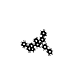 C1=Cc2c(-c3ccc(N(c4ccc(-c5ccccc5)cc4)c4ccc(-c5ccccc5)cc4)c4ccccc34)ccc3c(-c4ccccc4)ccc1c23